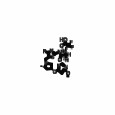 O=C(O)C(F)(F)F.[2H]C([2H])([2H])C(=O)Nc1nc(F)c(CN2C[C@H](Oc3cc(OC)ncn3)C[C@@H]2C)s1